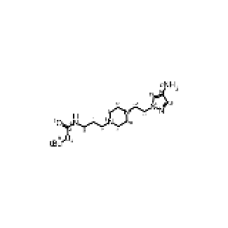 CC(C)(C)OC(=O)NCCCN1CCN(CCn2cc(N)cn2)CC1